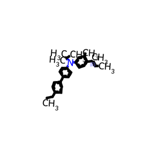 C/C=C(\C)c1ccc(N(c2ccc(-c3ccc(CCC)cc3)cc2)C(C)(C)C)cc1C